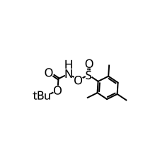 Cc1cc(C)c(S(=O)ONC(=O)OC(C)(C)C)c(C)c1